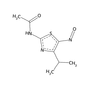 CC(=O)Nc1nc(C(C)C)c(N=O)s1